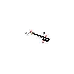 CC(=O)SCCCCCCC(C)C1CC(=O)c2ccccc2C1=O